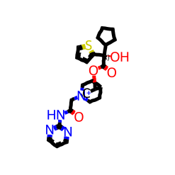 O=C(C[N+]12CCC(CC1)C(OC(=O)[C@@](O)(c1cccs1)C1CCCC1)C2)Nc1ncccn1